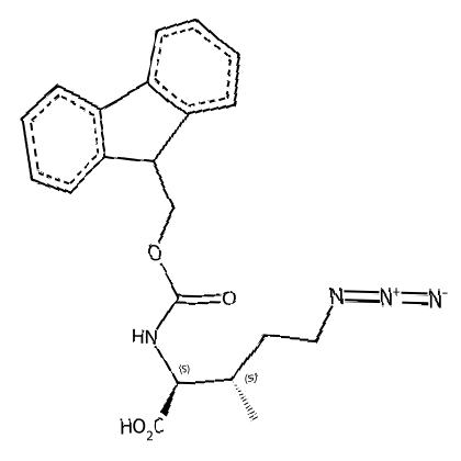 C[C@@H](CCN=[N+]=[N-])[C@H](NC(=O)OCC1c2ccccc2-c2ccccc21)C(=O)O